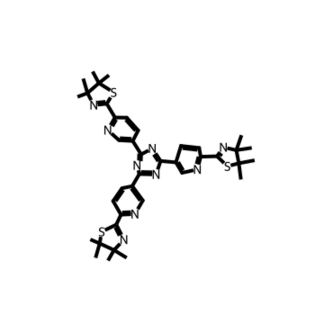 CC1(C)N=C(c2ccc(-c3nc(-c4ccc(C5=NC(C)(C)C(C)(C)S5)nc4)nc(-c4ccc(C5=NC(C)(C)C(C)(C)S5)nc4)n3)cn2)SC1(C)C